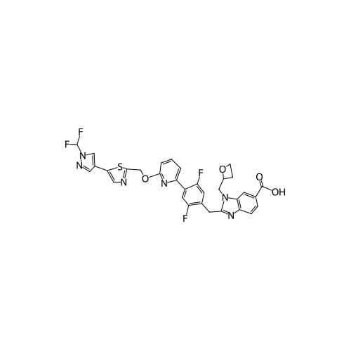 O=C(O)c1ccc2nc(Cc3cc(F)c(-c4cccc(OCc5ncc(-c6cnn(C(F)F)c6)s5)n4)cc3F)n(CC3CCO3)c2c1